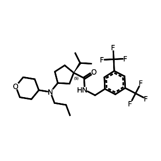 CCCN(C1CCOCC1)C1CC[C@@](C(=O)NCc2cc(C(F)(F)F)cc(C(F)(F)F)c2)(C(C)C)C1